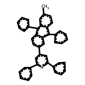 Cc1ccc2c(-c3ccccc3)c3cc(-c4cc(-c5ccccc5)nc(-c5ccccc5)c4)ccc3c(-c3ccccc3)c2c1